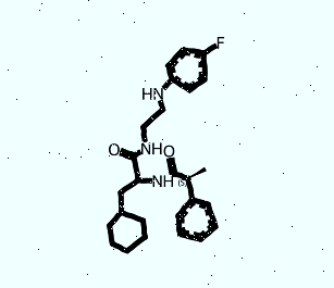 C[C@H](C(=O)NC(CC1CCCCC1)C(=O)NCCNc1ccc(F)cc1)c1ccccc1